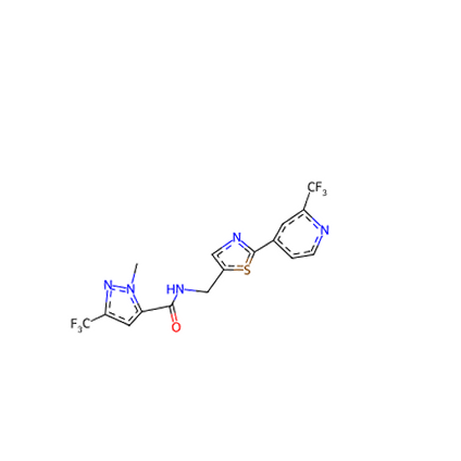 Cn1nc(C(F)(F)F)cc1C(=O)NCc1cnc(-c2ccnc(C(F)(F)F)c2)s1